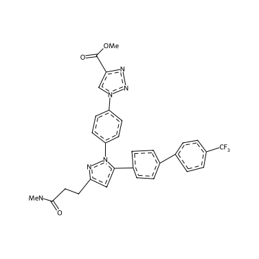 CNC(=O)CCc1cc(-c2ccc(-c3ccc(C(F)(F)F)cc3)cc2)n(-c2ccc(-n3cc(C(=O)OC)nn3)cc2)n1